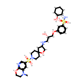 CN1CCOc2ncc(S(=O)(=O)N3CCC4(CC3)CC(NC[C@H](O)COc3cccc(S(=O)(=O)N[C@H]5CCCC[C@@H]5O)c3)CO4)cc21